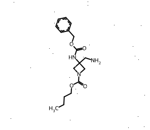 CCCCOC(=O)N1CC(CN)(NC(=O)OCc2ccccc2)C1